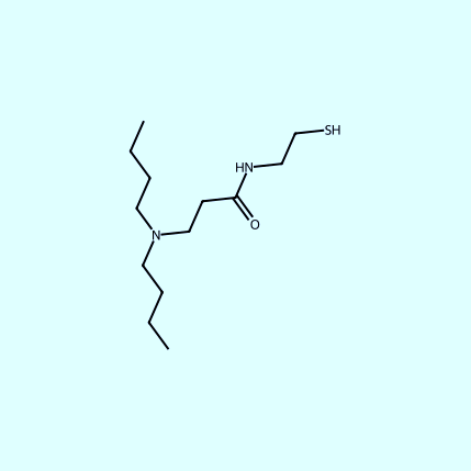 CCCCN(CCCC)CCC(=O)NCCS